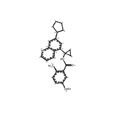 COc1ccc(C)c(C(=O)NC2(c3cc(C4CCCC4)cc4ncccc34)CC2)c1